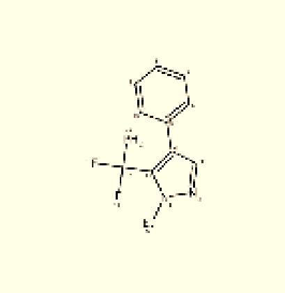 CCn1ncc(-c2ccccc2)c1C(F)(F)P